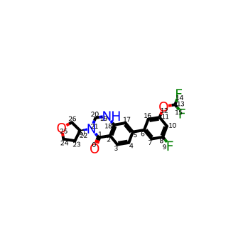 O=C1c2ccc(-c3cc(F)cc(OC(F)F)c3)cc2NCN1[C@H]1CCOC1